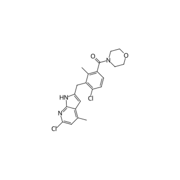 Cc1c(C(=O)N2CCOCC2)ccc(Cl)c1Cc1cc2c(C)cc(Cl)nc2[nH]1